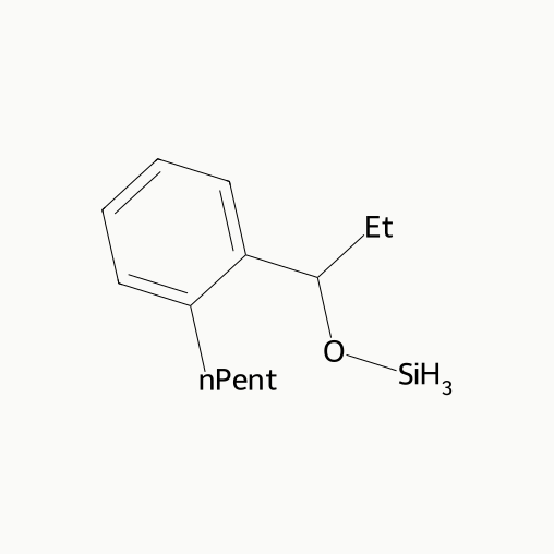 CCCCCc1ccccc1C(CC)O[SiH3]